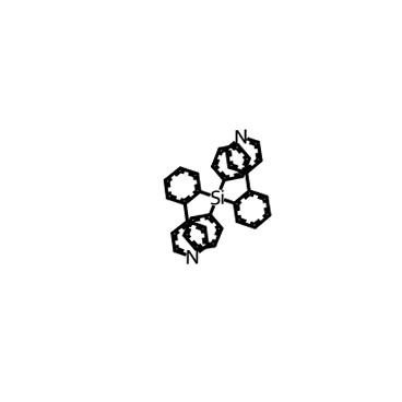 c1ccc([Si](c2ccccc2)(c2ccccc2-c2ccncc2)c2ccccc2-c2ccncc2)cc1